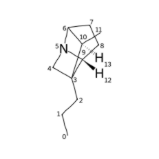 CCCC12CN3C(CC[C@@H]31)[C@H]2C